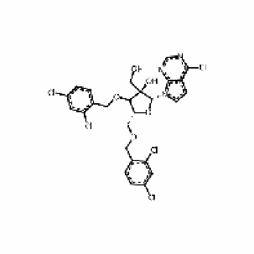 OC[C@@]1(O)[C@H](OCc2ccc(Cl)cc2Cl)[C@@H](COCc2ccc(Cl)cc2Cl)O[C@H]1n1ccc2c(Cl)ncnc21